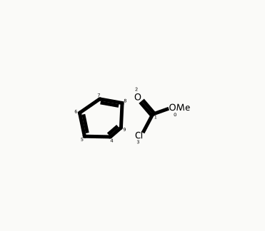 COC(=O)Cl.c1ccccc1